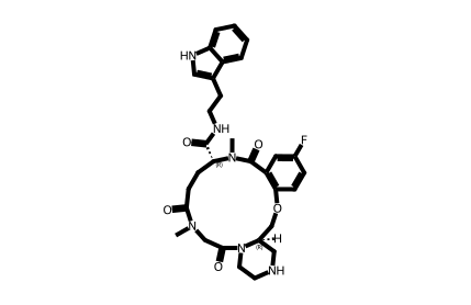 CN1CC(=O)N2CCNC[C@@H]2COc2ccc(F)cc2C(=O)N(C)[C@@H](C(=O)NCCc2c[nH]c3ccccc23)CCC1=O